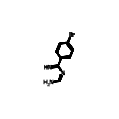 N=C(/N=C\N)c1ccc(Br)cc1